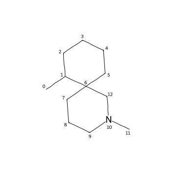 CC1CCCCC12CCCN(C)C2